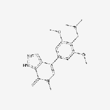 C=C1c2[nH]ncc2C(c2cc(OC)c(CN(C)C)c(OC)c2)=CN1C